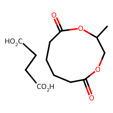 CC1COC(=O)CCCCC(=O)O1.O=C(O)CCC(=O)O